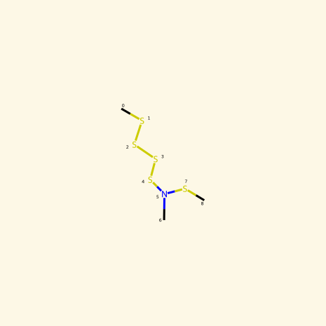 CSSSSN(C)SC